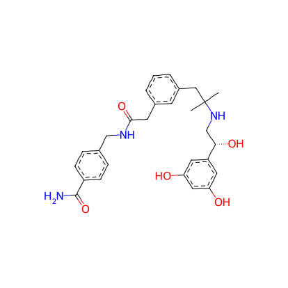 CC(C)(Cc1cccc(CC(=O)NCc2ccc(C(N)=O)cc2)c1)NC[C@H](O)c1cc(O)cc(O)c1